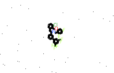 O=c1c2c(Cl)cccc2cc(-c2cccc(-c3cc(C(F)(F)F)cc(C(F)(F)F)c3)c2)n1Cc1ccc(F)cc1F